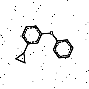 [c]1ccc(Oc2ccccc2)cc1C1CC1